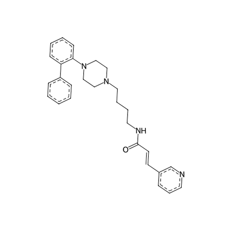 O=C(C=Cc1cccnc1)NCCCCN1CCN(c2ccccc2-c2ccccc2)CC1